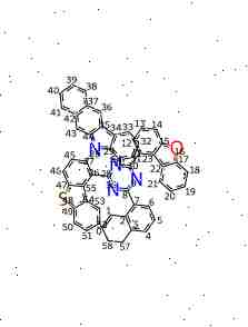 C1=Cc2c(cccc2-c2nc(-c3cccc4oc5ccccc5c34)nc(-c3c(-n4c5ccccc5c5cc6ccccc6cc54)ccc4sc5ccccc5c34)n2)CC1